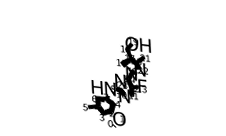 COc1cc(C)cc(Nc2ncc(F)c(-n3cc(CO)c(C)n3)n2)c1